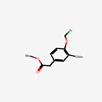 COc1cc(CC(=O)OC(C)(C)C)ccc1OCBr